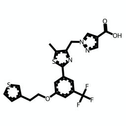 Cc1sc(-c2cc(OCCc3ccsc3)cc(C(F)(F)F)c2)nc1Cn1cc(C(=O)O)cn1